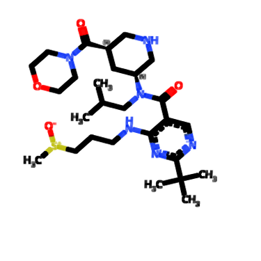 CC(C)CN(C(=O)c1cnc(C(C)(C)C)nc1NCCC[S+](C)[O-])[C@@H]1CNC[C@H](C(=O)N2CCOCC2)C1